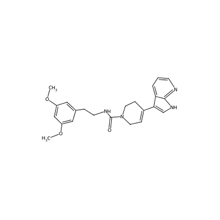 COc1cc(CCNC(=O)N2CC=C(c3c[nH]c4ncccc34)CC2)cc(OC)c1